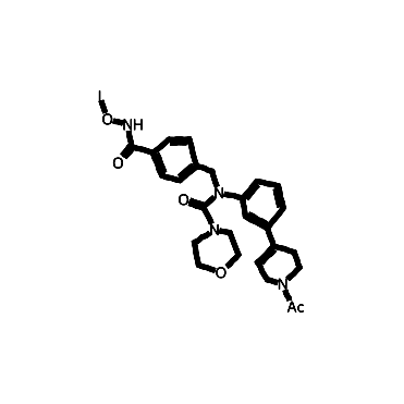 CC(=O)N1CC=C(c2cccc(N(Cc3ccc(C(=O)NOI)cc3)C(=O)N3CCOCC3)c2)CC1